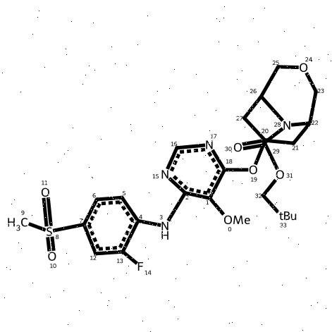 COc1c(Nc2ccc(S(C)(=O)=O)cc2F)ncnc1OC1CC2COCC(C1)N2C(=O)OCC(C)(C)C